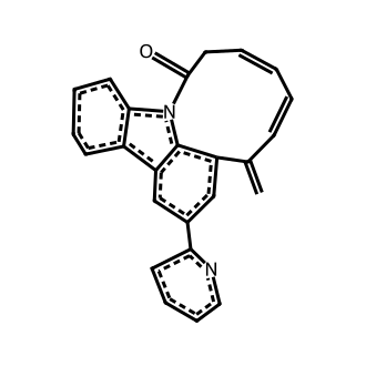 C=C1/C=C\C=C/CC(=O)n2c3ccccc3c3cc(-c4ccccn4)cc1c32